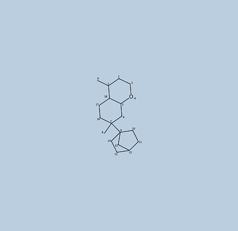 CC1CCOC2CC(C)(C34CCC(CC3)C4)CCC12